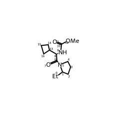 CCC1CCCN1C(=O)[C@@H](NC(=O)OC)C1CCC1